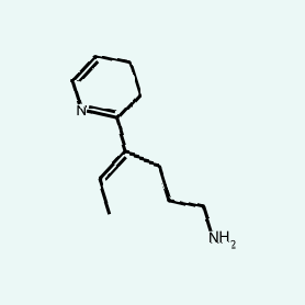 C/C=C(\CCCN)C1=NC=CCC1